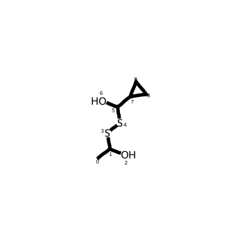 CC(O)SSC(O)C1CC1